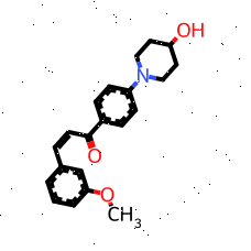 COc1cccc(/C=C\C(=O)c2ccc(N3CCC(O)CC3)cc2)c1